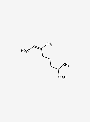 CC(=CC(=O)O)CCCC(C)C(=O)O